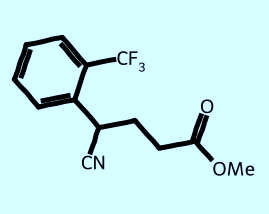 COC(=O)CCC(C#N)c1ccccc1C(F)(F)F